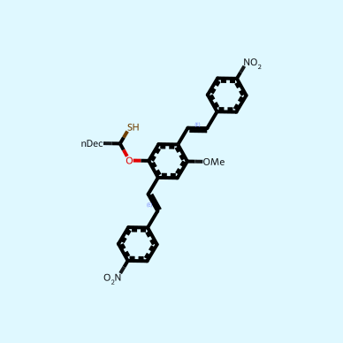 CCCCCCCCCCC(S)Oc1cc(/C=C/c2ccc([N+](=O)[O-])cc2)c(OC)cc1/C=C/c1ccc([N+](=O)[O-])cc1